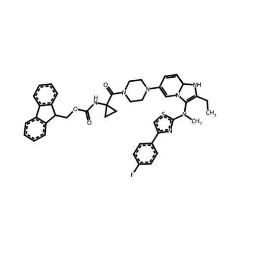 CCC1=C(N(C)c2nc(-c3ccc(F)cc3)cs2)N2C=C(N3CCN(C(=O)C4(NC(=O)OCC5c6ccccc6-c6ccccc65)CC4)CC3)C=CC2N1